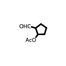 CC(=O)OC1CCCC1C=O